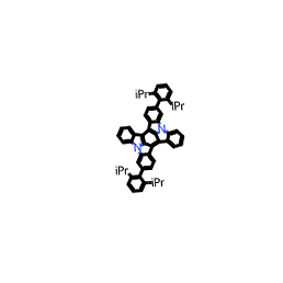 CC(C)c1cccc(C(C)C)c1-c1ccc2c3c4c5ccccc5n5c6cc(-c7c(C(C)C)cccc7C(C)C)ccc6c(c6c7ccccc7n(c2c1)c63)c45